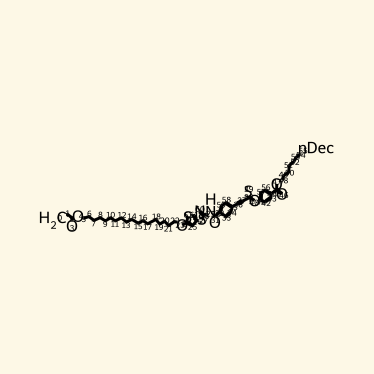 C=CC(=O)OCCCCCCCCCCCCCCCCCCOc1cc2sc(NC(=O)c3ccc(C#CC(=S)Oc4ccc(C(=O)OCCCCCCCCCCCCCCCCC)cc4)cc3)nc2s1